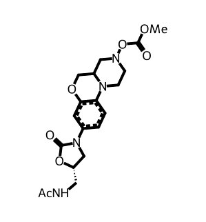 COC(=O)ON1CCN2c3ccc(N4C[C@H](CNC(C)=O)OC4=O)cc3OCC2C1